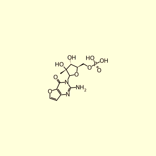 C[C@]1(O)C(n2c(N)nc3ccoc3c2=O)O[C@H](COP(=O)(O)O)[C@H]1O